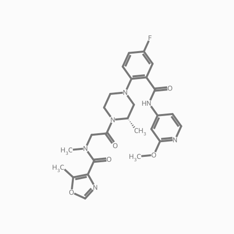 COc1cc(NC(=O)c2cc(F)ccc2N2CCN(C(=O)CN(C)C(=O)c3ncoc3C)[C@@H](C)C2)ccn1